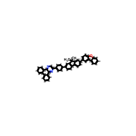 CC1(C)c2cc(-c3ccc(-c4cnc5c6ccccc6c6ccccc6c5n4)cc3)ccc2-c2ccc(-c3ccc4oc5ccccc5c4c3)cc21